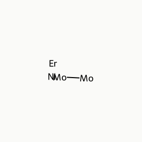 [Er].[Mo][Mo].[Ni]